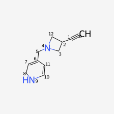 C#CC1CN(CC2=CCNC=C2)C1